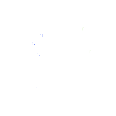 FC(F)(F)C1=CC=C2C(=NNN2c2cccnc2)C1